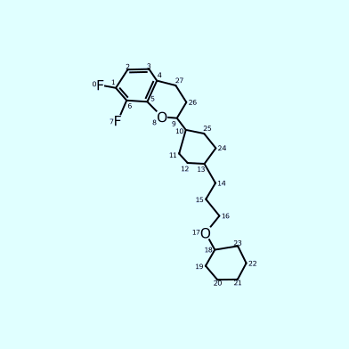 Fc1ccc2c(c1F)OC(C1CCC(CCCOC3CCCCC3)CC1)CC2